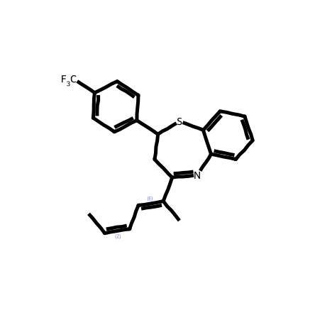 C/C=C\C=C(/C)C1=Nc2ccccc2SC(c2ccc(C(F)(F)F)cc2)C1